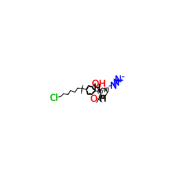 CC(C)(CCCCCCCl)c1cc(O)c2c(c1)OC(C)(C)[C@@H]1CC[C@@H](CN=[N+]=[N-])C[C@@H]21